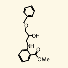 COC(=O)c1ccccc1NCC(O)COCc1ccccc1